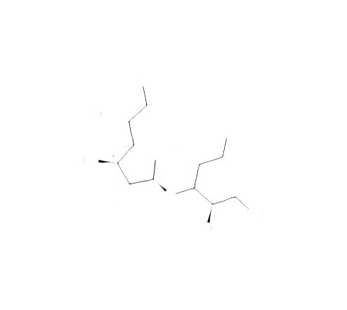 OC[C@@H](O)C(O[C@@H]1O[C@@H]([C@H](O)CO)[C@H](O)[C@H]1O)[C@H](O)CO